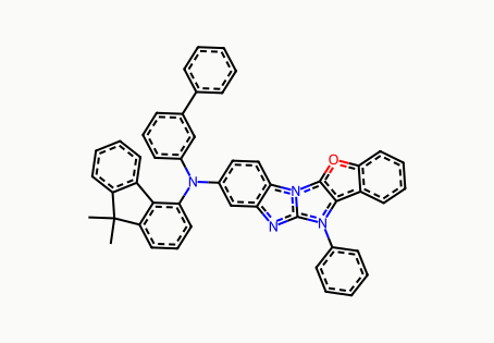 CC1(C)c2ccccc2-c2c(N(c3cccc(-c4ccccc4)c3)c3ccc4c(c3)nc3n(-c5ccccc5)c5c6ccccc6oc5n43)cccc21